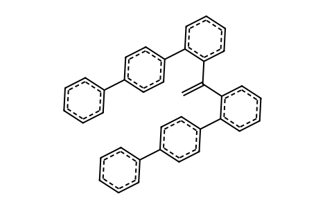 C=C(c1ccccc1-c1ccc(-c2ccccc2)cc1)c1ccccc1-c1ccc(-c2ccccc2)cc1